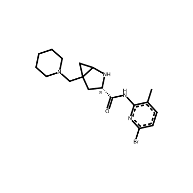 Cc1ccc(Br)nc1NC(=O)[C@@H]1CC2(CN3CCCCC3)CC2N1